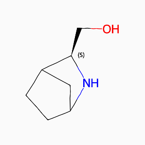 OC[C@H]1NC2CCC1C2